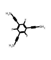 Fc1c(C#C[SiH3])c(F)c(C#C[SiH3])c(F)c1C#C[SiH3]